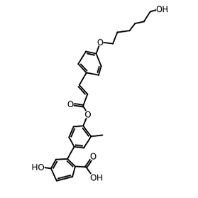 Cc1cc(-c2cc(O)ccc2C(=O)O)ccc1OC(=O)/C=C/c1ccc(OCCCCCCO)cc1